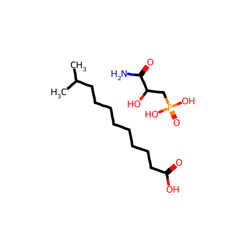 CC(C)CCCCCCCCC(=O)O.NC(=O)C(O)CP(=O)(O)O